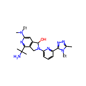 CCN(C)c1cc2c(c(C(C)(C)N)n1)CN(c1cccc(-c3nnc(C)n3CC)n1)C2O